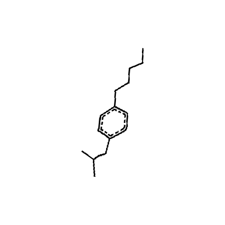 CCCCCc1ccc(CC(C)C)cc1